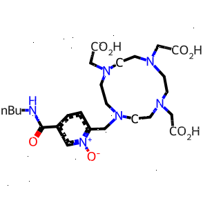 CCCCNC(=O)c1ccc(CN2CCN(CC(=O)O)CCN(CC(=O)O)CCN(CC(=O)O)CC2)[n+]([O-])c1